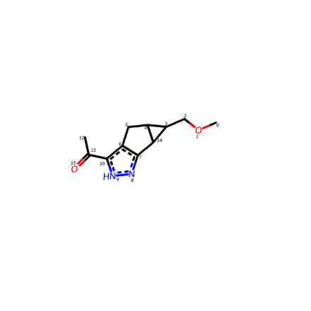 COCC1C2Cc3c(n[nH]c3C(C)=O)C12